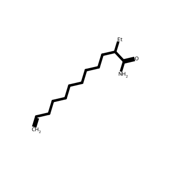 C=CCCCCCCCCC(CC)C(N)=O